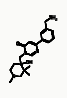 CN1CCC(O)(Cn2cnc(-c3cccc(CN)c3)cc2=O)C(C)(C)C1